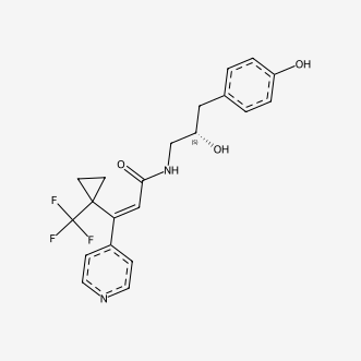 O=C(C=C(c1ccncc1)C1(C(F)(F)F)CC1)NC[C@@H](O)Cc1ccc(O)cc1